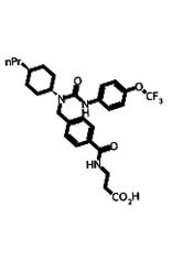 CCC[C@H]1CC[C@H](N(Cc2ccc(C(=O)NCCC(=O)O)cc2)C(=O)Nc2ccc(OC(F)(F)F)cc2)CC1